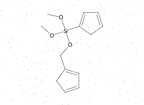 CO[Si](OC)(OCC1=CC=CC1)C1=CC=CC1